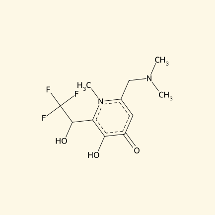 CN(C)Cc1cc(=O)c(O)c(C(O)C(F)(F)F)n1C